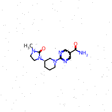 CN1CCN([C@@H]2CCCN(c3ncc(C(N)=O)cn3)C2)C1=O